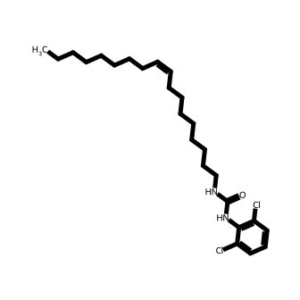 CCCCCCCC/C=C\CCCCCCCCNC(=O)Nc1c(Cl)cccc1Cl